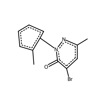 Cc1cc(Br)c(=O)n(-c2ccccc2C)n1